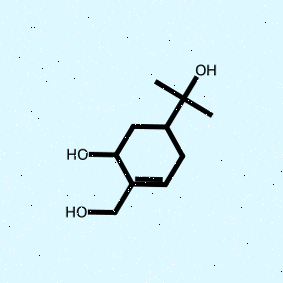 CC(C)(O)C1CC=C(CO)C(O)C1